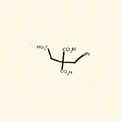 CC(C)CC(CC(=O)O)(C(=O)O)C(=O)O